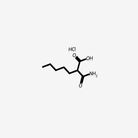 CCCCCC(C(N)=O)C(=O)O.Cl